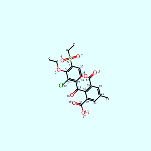 CCOc1c(S(=O)(=O)CC)ccc(C(=O)c2c(C(=O)O)cc(C)cc2C(=O)O)c1Cl